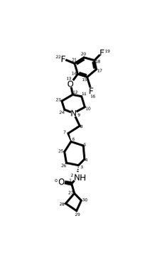 O=C(N[C@H]1CC[C@H](CCN2CCC(Oc3c(F)cc(F)cc3F)CC2)CC1)C1CCC1